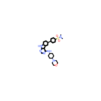 CN(C)S(=O)(=O)c1ccc(-c2ccc3[nH]c4ncnc(N[C@H]5CC[C@H](N6CCOCC6)CC5)c4c3c2)cc1